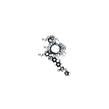 CC[C@H]1OC(=O)[C@H](C)[C@@H](O[C@H]2C[C@@](C)(OC)[C@@H](O)[C@H](C)O2)[C@H](C)[C@@H](O[C@@H]2O[C@H](C)C[C@H](N(C)Cc3ccc(-c4ccc(N5C[C@H](Cn6ccnn6)OC5=O)cc4F)cc3)[C@H]2O)[C@](C)(O)C[C@@H](C)CN(C)[C@H](C)[C@@H](O)[C@]1(C)O